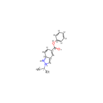 CCCC(CC)n1cc2cc(C(=O)Oc3ccccc3)ccc2n1